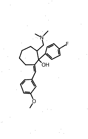 COc1cccc(/C=C2\CCCCC(CN(C)C)C2(O)c2ccc(F)cc2)c1